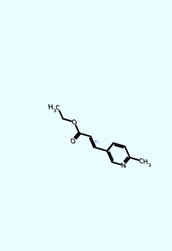 CCOC(=O)/C=C/c1ccc(C)nc1